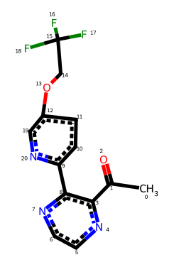 CC(=O)c1nccnc1-c1ccc(OCC(F)(F)F)cn1